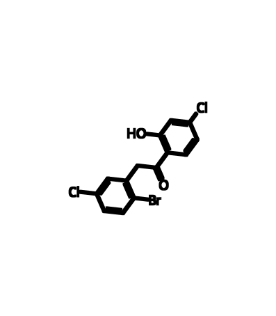 O=C(Cc1cc(Cl)ccc1Br)c1ccc(Cl)cc1O